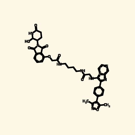 Cc1noc(C)c1-c1ccc(-c2nc3cnccn3c2NCC(=O)NCCCCNC(=O)COc2cccc3c2C(=O)N(C2CCC(=O)NC2O)C3=O)cc1